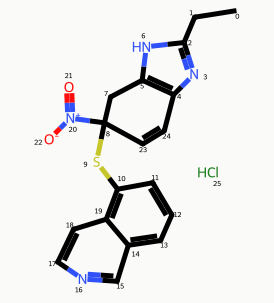 CCc1nc2c([nH]1)CC(Sc1cccc3cnccc13)([N+](=O)[O-])C=C2.Cl